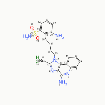 CCCCc1nc2c(N)nc3ccccc3c2n1CCCCc1c(N)cccc1S(N)(=O)=O.Cl